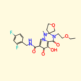 CCOCCN1C(=O)c2c(O)c(=O)c(C(=O)NCc3ccc(F)cc3F)cn2N(C)C12CCOC2